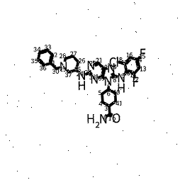 NC(=O)C1CCC(n2c(Nc3c(F)cc(F)cc3Cl)nc3cnc(NC4CCCN(Cc5ccccc5)C4)nc32)CC1